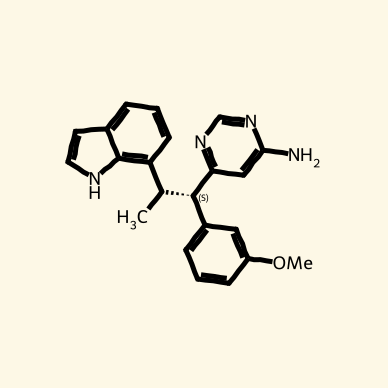 COc1cccc([C@@H](c2cc(N)ncn2)C(C)c2cccc3cc[nH]c23)c1